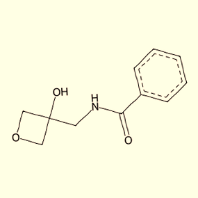 O=C(NCC1(O)COC1)c1ccccc1